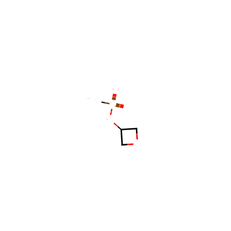 O=S(=O)(OC1COC1)C(F)(F)F